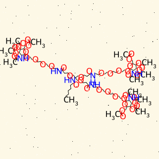 CCCCCCC(=O)NC(COCCC(=O)NCCOCCOCCOCCOC1OC(COC(C)=O)C(OC(C)=O)C(OC(C)=O)C1NC(C)=O)(COCCC(=O)NCCOCCOCCOCCOC1OC(COC(C)=O)C(OC(C)=O)C(OC(C)=O)C1NC(C)=O)COCCC(=O)NCCOCCOCCOCCOC1OC(COC(C)=O)C(OC(C)=O)C(OC(C)=O)C1NC(C)=O